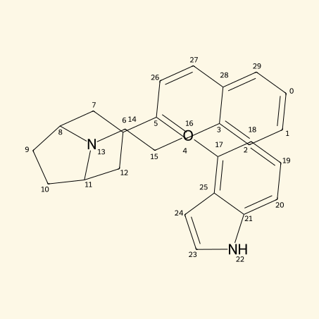 c1ccc2cc(C3CC4CCC(C3)N4CCOc3cccc4[nH]ccc34)ccc2c1